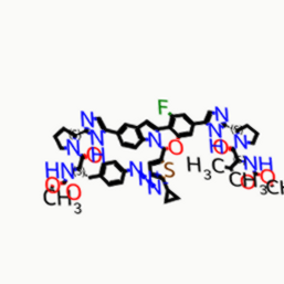 COC(=O)N[C@@H](Cc1ccc(N=[N+]=[N-])cc1)C(=O)N1CCC[C@H]1c1ncc(-c2ccc3c(c2)cc2n3C(c3ccc(C4CC4)s3)Oc3cc(-c4cnc([C@@H]5CCCN5C(=O)[C@@H](NC(=O)OC)C(C)C)[nH]4)cc(F)c3-2)[nH]1